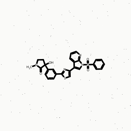 CN1CCC(O)(c2cccc(-c3nc(-c4cn(S(=O)(=O)c5ccccc5)c5ncccc45)cs3)c2)C1=O